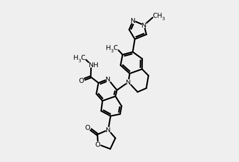 CNC(=O)c1cc2cc(N3CCOC3=O)ccc2c(N2CCCc3cc(-c4cnn(C)c4)c(C)cc32)n1